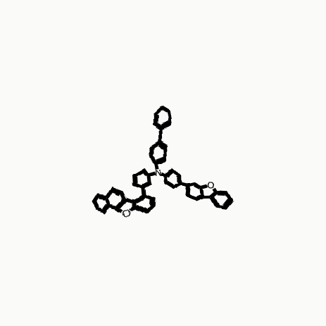 c1ccc(-c2ccc(N(c3ccc(-c4ccc5c(c4)oc4ccccc45)cc3)c3cccc(-c4cccc5oc6c7ccccc7ccc6c45)c3)cc2)cc1